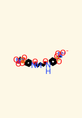 O=C(CCCC(=O)Nc1ccc(S(=O)(=O)C[N+](=O)[O-])cc1)Nc1ccc(S(=O)(=O)C[N+](=O)[O-])cc1